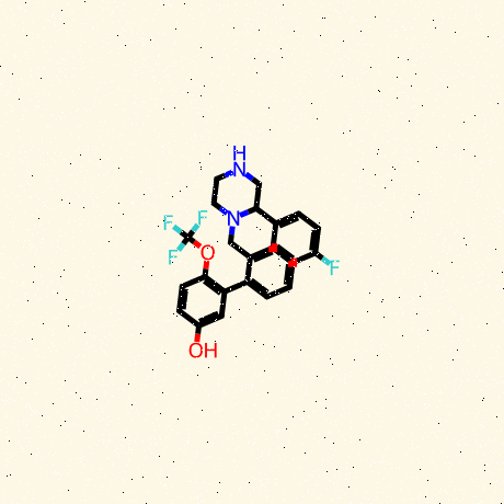 Oc1ccc(OC(F)(F)F)c(-c2ccccc2CN2CCNCC2c2ccc(F)cc2)c1